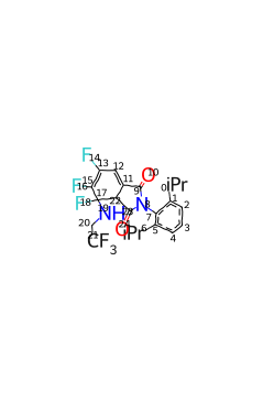 CC(C)c1cccc(C(C)C)c1N1C(=O)C2=CC(F)=C(F)C(F)(NCC(F)(F)F)C2C1=O